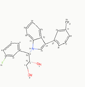 OC[C@@H](O)[C@H](c1cccc(F)c1)n1cc(-c2cccc(C(F)(F)F)c2)c2ccccc21